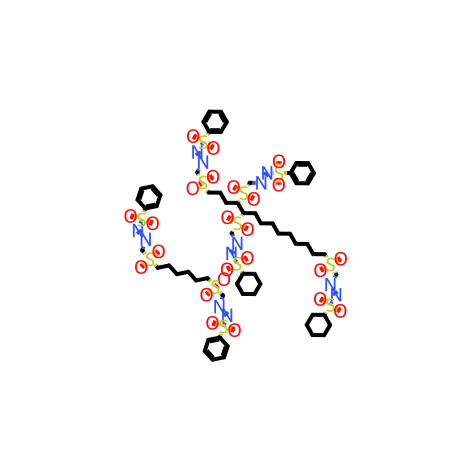 O=S(=O)(CCCC(C(CCCCCCCCCS(=O)(=O)CN=NS(=O)(=O)C1CCCCC1)S(=O)(=O)CN=NS(=O)(=O)C1CCCCC1)S(=O)(=O)CN=NS(=O)(=O)c1ccccc1)CN=NS(=O)(=O)c1ccccc1.O=S(=O)(CCCCCCS(=O)(=O)CN=NS(=O)(=O)c1ccccc1)CN=NS(=O)(=O)c1ccccc1